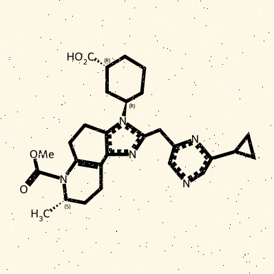 COC(=O)N1C2=C(CC[C@@H]1C)c1nc(Cc3cncc(C4CC4)n3)n([C@@H]3CCC[C@@H](C(=O)O)C3)c1CC2